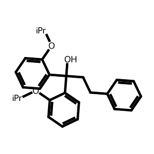 CC(C)Oc1ccccc1C(O)(CCc1ccccc1)c1ccccc1OC(C)C